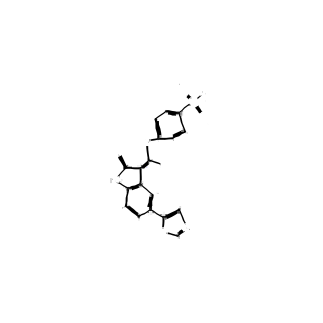 C/C(Nc1ccc(S(N)(=O)=O)cc1)=C1/C(=O)Nc2ccc(-c3cnco3)cc21